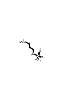 COCCCOS(=O)(=O)C(F)(F)F